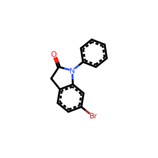 O=C1Cc2ccc(Br)cc2N1c1ccccc1